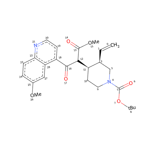 C=C[C@H]1CN(C(=O)OC(C)(C)C)CC[C@H]1C(C(=O)OC)C(=O)c1ccnc2ccc(OC)cc12